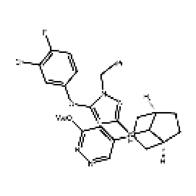 COc1cc(N2C[C@H]3CC[C@@H](C2)C3Nc2nc(Oc3ccc(F)c(Cl)c3)n(CC(C)C)n2)cnn1